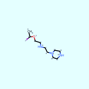 CC(I)OCCNCCN1CCNCC1